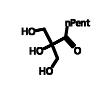 CCCCCC(=O)C(O)(CO)CO